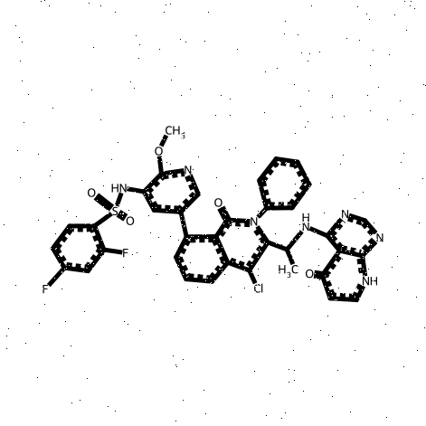 COc1ncc(-c2cccc3c(Cl)c(C(C)Nc4ncnc5[nH]ccc(=O)c45)n(-c4ccccc4)c(=O)c23)cc1NS(=O)(=O)c1ccc(F)cc1F